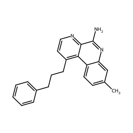 Cc1ccc2c(c1)nc(N)c1nccc(CCCc3ccccc3)c12